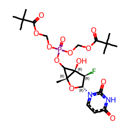 CC(C)(C)C(=O)OCOP(=O)(OCOC(=O)C(C)(C)C)OC1[C@@]2(C)O[C@@H](n3ccc(=O)[nH]c3=O)[C@H](F)[C@@]12O